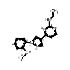 CCNc1nccc(-c2cnn(-c3ccccc3OC)c2)n1